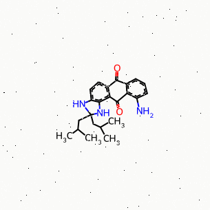 CC(C)CC1(CC(C)C)Nc2ccc3c(c2N1)C(=O)c1c(N)cccc1C3=O